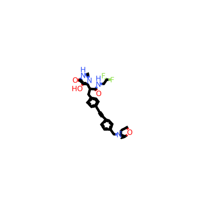 O=C(NCC(F)F)C(Cc1ccc(C#Cc2ccc(CN3CC4CC3CO4)cc2)cc1)c1nc[nH]c(=O)c1O